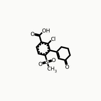 CS(=O)(=O)c1ccc(C(=O)O)c(Cl)c1C1=CC(=O)CCC1